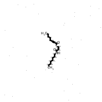 CCCCCC#CC(=O)S/C=C\C(=O)NCCCCCCCC